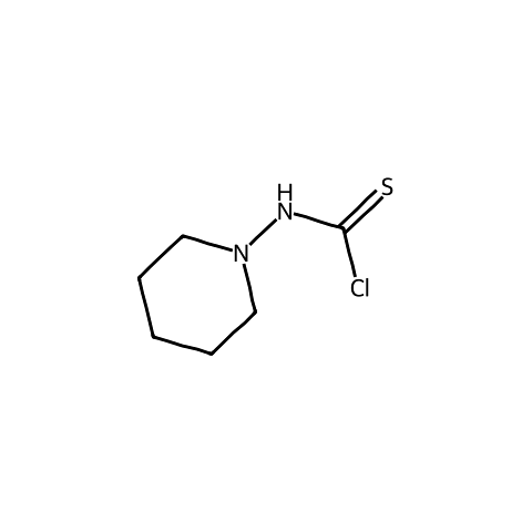 S=C(Cl)NN1CCCCC1